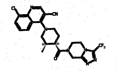 C[C@@H]1CN(c2c(C#N)cnc3c(Cl)cccc23)CC[C@@H]1C(=O)N1CCn2c(nnc2C(F)(F)F)C1